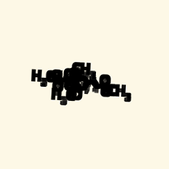 COC(=O)C=Cc1cc(OC)c(OC(C)C(=O)OC)c(OC)c1